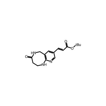 CC(C)(C)OC(=O)/C=C/c1cnc2c(c1)CNC(=O)CCN2